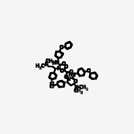 CN(C)CCC(c1ccc(Cl)cc1)N(OC(=O)C(=O)ON(C(=O)Nc1ccc(Oc2ccccc2)cc1)C(CCN(C)C)c1ccc(Cl)cc1)C(=O)Nc1ccc(Oc2ccccc2)cc1